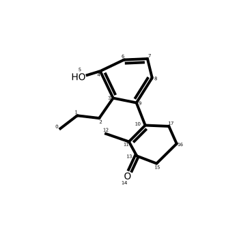 CCCc1c(O)cccc1C1=C(C)C(=O)CCC1